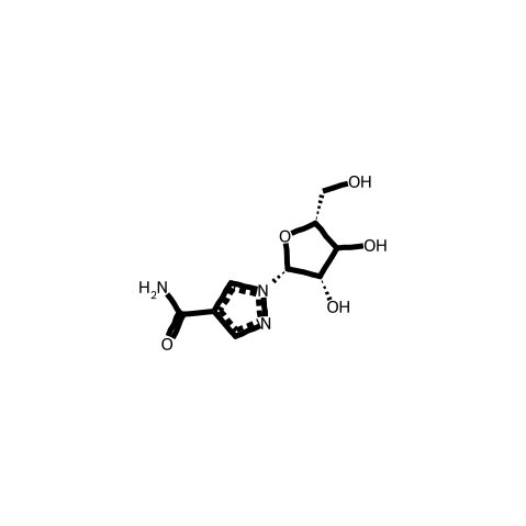 NC(=O)c1cnn([C@@H]2O[C@H](CO)C(O)[C@@H]2O)c1